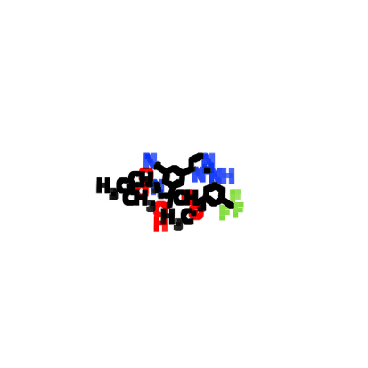 COC(=O)c1cc(Nc2nccc(-c3cc(C#N)c4c(c3)C(C)(CO)CN4C(=O)OC(C)(C)C)n2)cc(C(F)(F)F)c1